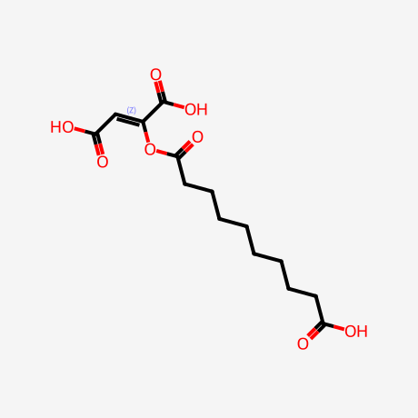 O=C(O)/C=C(\OC(=O)CCCCCCCCC(=O)O)C(=O)O